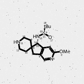 COc1cc2c(cn1)CC1(CCNCC1)[C@@H]2N[S@+]([O-])C(C)(C)C